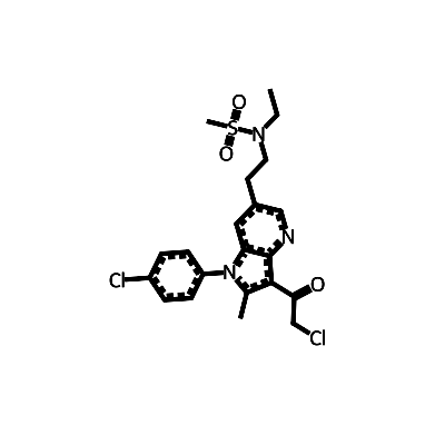 CCN(CCc1cnc2c(C(=O)CCl)c(C)n(-c3ccc(Cl)cc3)c2c1)S(C)(=O)=O